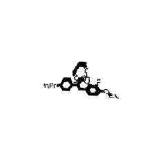 CCCC1CCC(C2Cc3ccc(OCC)c(F)c3OC23SCCCS3)CC1